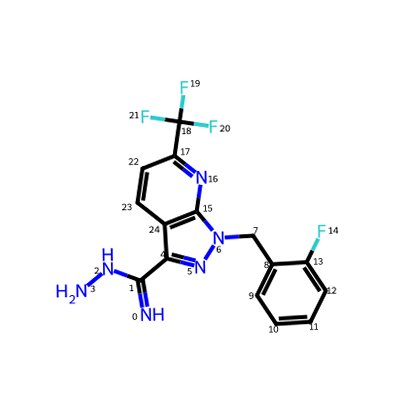 N=C(NN)c1nn(Cc2ccccc2F)c2nc(C(F)(F)F)ccc12